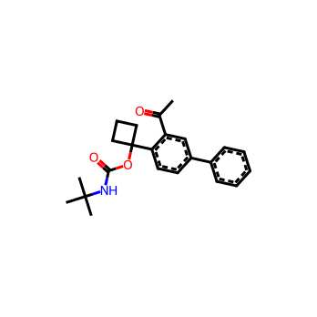 CC(=O)c1cc(-c2ccccc2)ccc1C1(OC(=O)NC(C)(C)C)CCC1